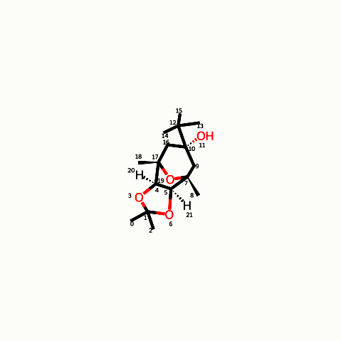 CC1(C)O[C@@H]2[C@H](O1)[C@@]1(C)C[C@](O)(C(C)(C)C)C[C@]2(C)O1